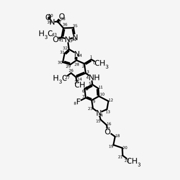 C/C=C(\C(Nc1cc(F)c2c(c1)CCN(CCOCCCCC)C2)=C(\C)CC)c1cccc(-n2ncc(C(=O)N=O)c2OC)n1